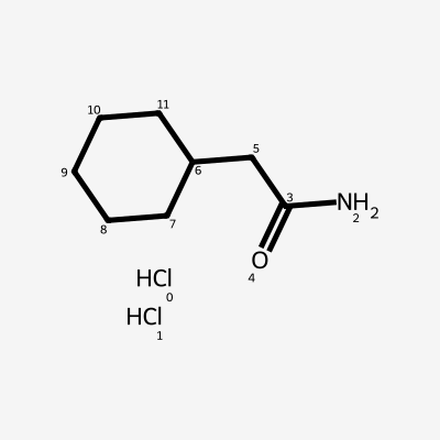 Cl.Cl.NC(=O)CC1CCCCC1